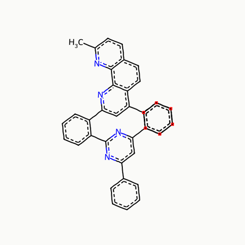 Cc1ccc2ccc3c(-c4ccccc4)cc(-c4ccccc4-c4nc(-c5ccccc5)cc(-c5ccccc5)n4)nc3c2n1